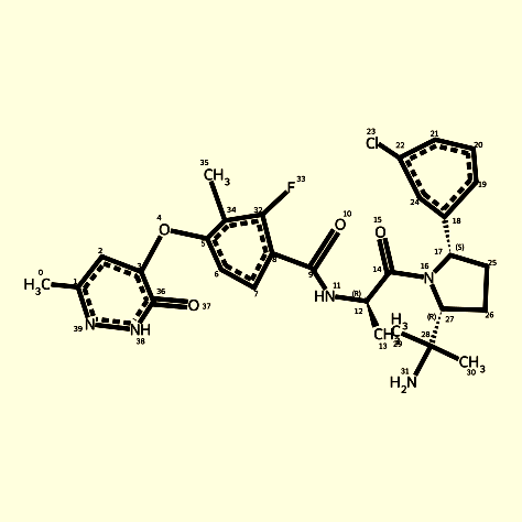 Cc1cc(Oc2ccc(C(=O)N[C@H](C)C(=O)N3[C@H](c4cccc(Cl)c4)CC[C@@H]3C(C)(C)N)c(F)c2C)c(=O)[nH]n1